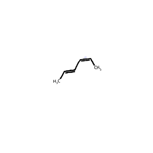 CC=C/C=C\C